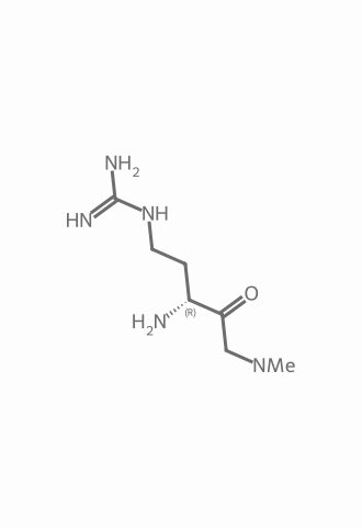 CNCC(=O)[C@H](N)CCNC(=N)N